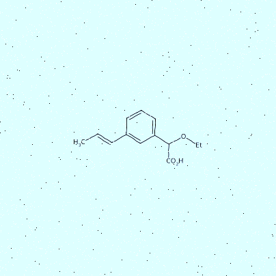 C/C=C/c1cccc(C(OCC)C(=O)O)c1